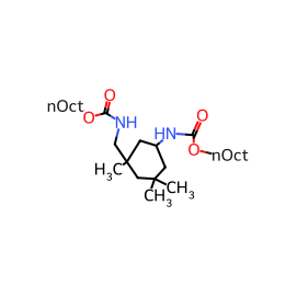 CCCCCCCCOC(=O)NCC1(C)CC(NC(=O)OCCCCCCCC)CC(C)(C)C1